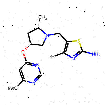 [2H]c1nc(N)sc1CN1C[C@H](Oc2cc(OC)ncn2)C[C@@H]1C